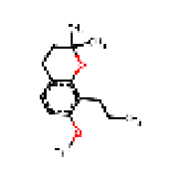 CCCc1c(OC)ccc2c1OC(C)(C)C[CH]2